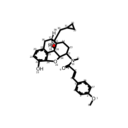 COc1ccc(/C=C/C(=O)N(C)C2CC[C@@]3(O)[C@H]4Cc5ccc(O)c6c5[C@@]3(CCN4CC3CC3)C2O6)cc1